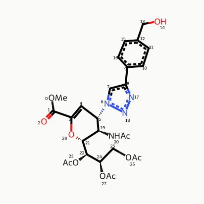 COC(=O)C1=C[C@H](n2cc(-c3ccc(CO)cc3)nn2)[C@@H](NC(C)=O)[C@H]([C@H](OC(C)=O)[C@@H](COC(C)=O)OC(C)=O)O1